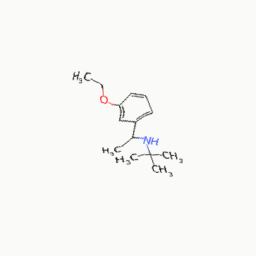 CCOc1cccc(C(C)NC(C)(C)C)c1